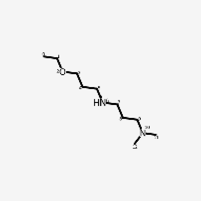 CCOCCCNCCCN(C)C